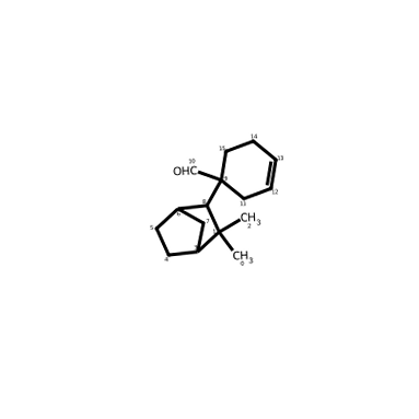 CC1(C)C2CCC(C2)C1C1(C=O)CC=CCC1